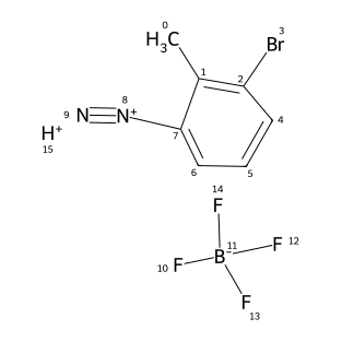 Cc1c(Br)cccc1[N+]#N.F[B-](F)(F)F.[H+]